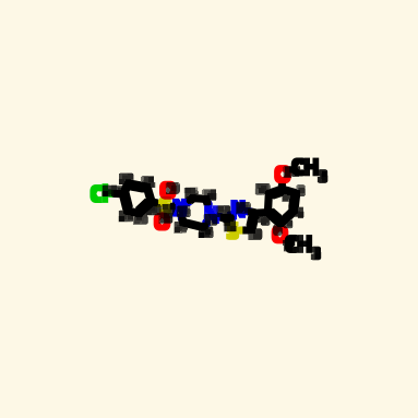 COc1ccc(OC)c(-c2csc(N3CCN(S(=O)(=O)c4ccc(Cl)cc4)CC3)n2)c1